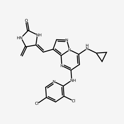 C=c1[nH]c(=O)[nH]/c1=C\c1cnn2c(NC3CC3)cc(Nc3ncc(Cl)cc3Cl)nc12